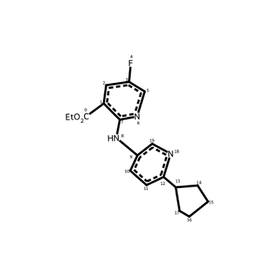 CCOC(=O)c1cc(F)cnc1Nc1ccc(C2CCCC2)nc1